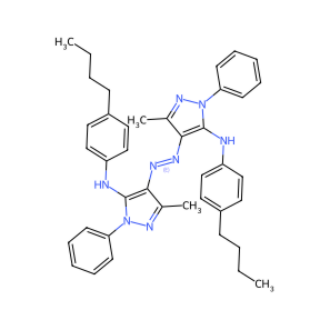 CCCCc1ccc(Nc2c(/N=N/c3c(C)nn(-c4ccccc4)c3Nc3ccc(CCCC)cc3)c(C)nn2-c2ccccc2)cc1